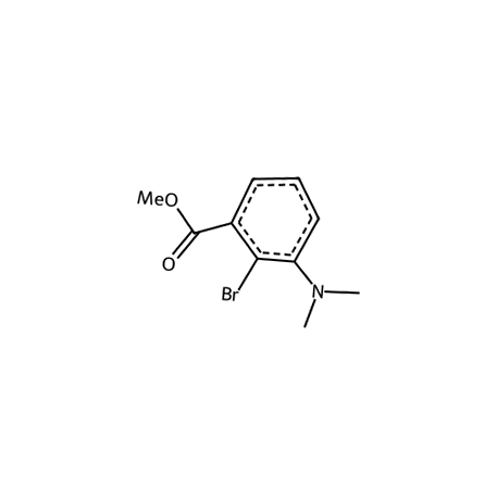 COC(=O)c1cccc(N(C)C)c1Br